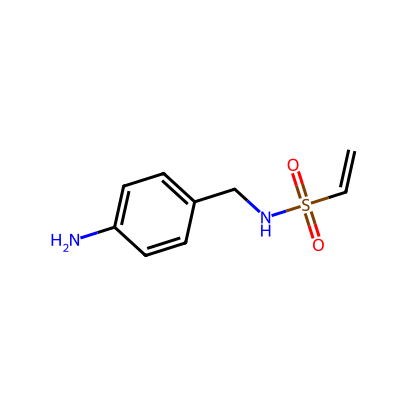 C=CS(=O)(=O)NCc1ccc(N)cc1